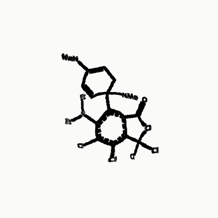 CCN(CC)c1c(Cl)c(Cl)c2c(c1C1(NC)C=CC(NC)=CC1)C(=O)OC2(Cl)Cl